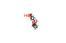 CB(O)c1ccc(C(=O)OC2(C)C3CC4CC(C3)CC2C4)cc1